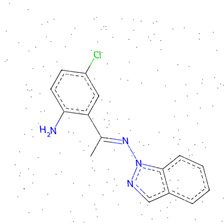 C/C(=N\n1ncc2ccccc21)c1cc(Cl)ccc1N